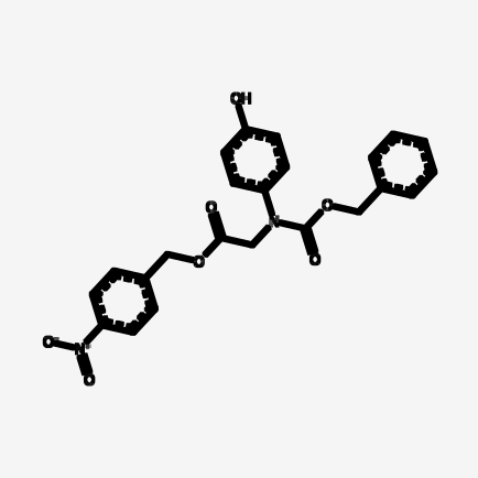 O=C(CN(C(=O)OCc1ccccc1)c1ccc(O)cc1)OCc1ccc([N+](=O)[O-])cc1